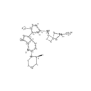 C[C@H]1COCCN1c1ccc2c(-c3nc(N[C@@H]4CCC45CN(C(=O)O)C5)ncc3C(F)(F)F)c[nH]c2n1